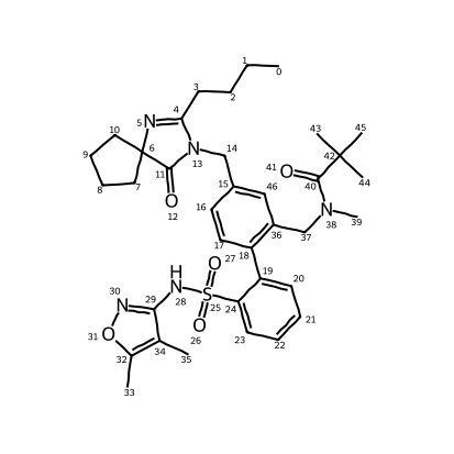 CCCCC1=NC2(CCCC2)C(=O)N1Cc1ccc(-c2ccccc2S(=O)(=O)Nc2noc(C)c2C)c(CN(C)C(=O)C(C)(C)C)c1